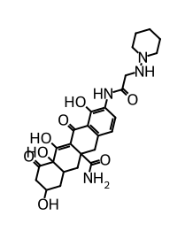 NC(=O)C12Cc3ccc(NC(=O)CNN4CCCCC4)c(O)c3C(=O)C1=C(O)C1(O)C(=O)CC(O)CC1C2